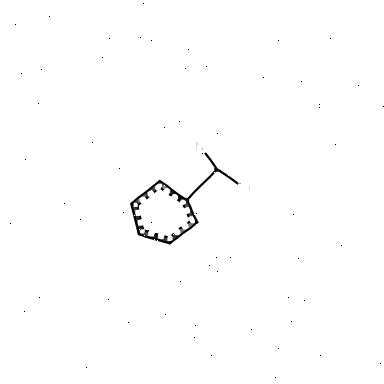 CC[C](c1ccccc1)[N+](=O)[O-]